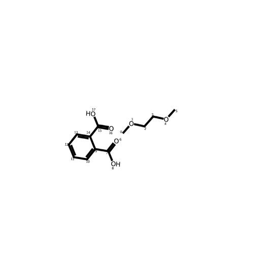 COCCOC.O=C(O)c1ccccc1C(=O)O